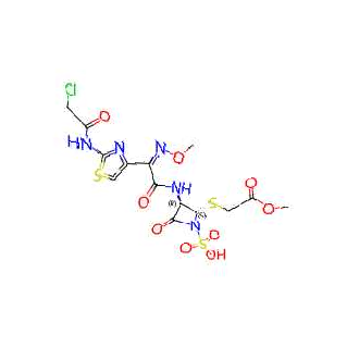 CON=C(C(=O)N[C@@H]1C(=O)N(S(=O)(=O)O)[C@H]1SCC(=O)OC)c1csc(NC(=O)CCl)n1